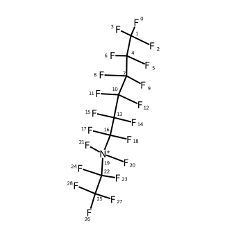 FC(F)(F)C(F)(F)C(F)(F)C(F)(F)C(F)(F)C(F)(F)[N+](F)(F)C(F)(F)C(F)(F)F